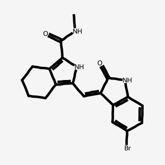 CNC(=O)c1[nH]c(/C=C2\C(=O)Nc3ccc(Br)cc32)c2c1CCCC2